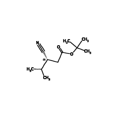 CC(C)[C@H](C#N)CC(=O)OC(C)(C)C